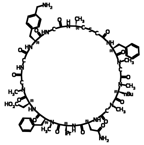 CCCC[C@H]1C(=O)N(C)CC(=O)N[C@@H](CC(N)=O)C(=O)N[C@@H](C(C)C)C(=O)N(C)[C@@H](Cc2ccccc2)C(=O)N[C@@H](CC(=O)O)C(=O)N(C)CC(=O)NCC(=O)N[C@@H](Cc2ccc(CN)cc2)C(=O)NCC(=O)N[C@H](C)CSCC(=O)N[C@@H](Cc2ccccc2)C(=O)N(C)CC(=O)N1C